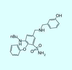 CCCCNc1cc(CNCc2cccc(O)c2)cc(S(N)(=O)=O)c1Oc1ccccc1